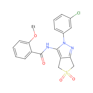 CCOc1ccccc1C(=O)Nc1c2c(nn1-c1cccc(Cl)c1)CS(=O)(=O)C2